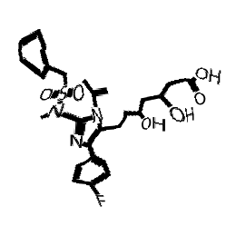 CC(C)n1c(N(C)S(=O)(=O)Cc2ccccc2)nc(-c2ccc(F)cc2)c1CCC(O)CC(O)CC(=O)O